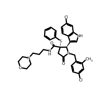 Cc1cc(Cl)ccc1CN1C(=O)C[C@@](Sc2ccccc2)(C(=O)NCCCN2CCOCC2)[C@H]1c1c[nH]c2cc(Cl)ccc12